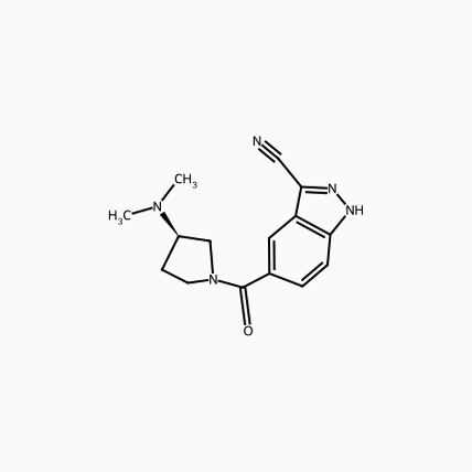 CN(C)[C@@H]1CCN(C(=O)c2ccc3[nH]nc(C#N)c3c2)C1